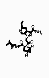 CCc1cc2c(C(N)=O)nn(CC(=O)N3[C@@H]4C[C@@H]4C[C@H]3C(=O)NCC(F)=C(C)C)c2cn1